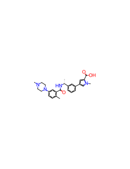 Cc1ccc(N2CCN(C)CC2)cc1C(=O)N[C@H](C)c1cccc(-c2cc(C(=O)O)n(C)c2)c1